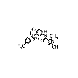 Cc1nc(C)c(C(=O)Nc2ccc3c(c2)S(=O)(=O)N(c2ccc(C(F)(F)F)cc2)CCO3)s1